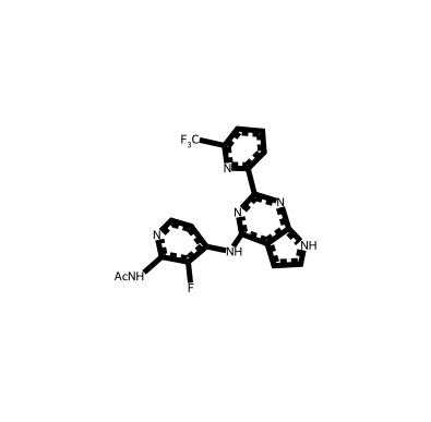 CC(=O)Nc1nccc(Nc2nc(-c3cccc(C(F)(F)F)n3)nc3[nH]ccc23)c1F